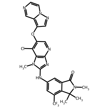 CN1C(=O)c2cc(Nc3nc4ncc(Oc5cnn6ccncc56)c(Cl)c4n3C)cc(C(F)(F)F)c2C1(C)C